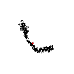 Cn1c2ccncc2c2ccc(-c3ccc(O[C@H]4C[C@H](OCC56CC(C#CCOCCOc7ccc8c(c7)C(=O)N(C7CCC(=O)NC7=O)C8=O)(C5)C6)C4)nc3)cc21